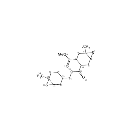 COC(=O)C1CC2(C)SC2CC1C(=O)OCC1CCC2(C)SC2C1